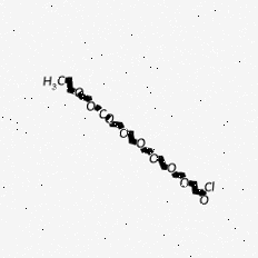 CCCOCCOCCOCCOCCOCCOCCOCCOCCC(=O)Cl